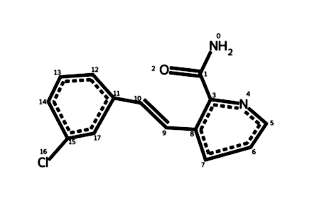 NC(=O)c1ncccc1C=Cc1cccc(Cl)c1